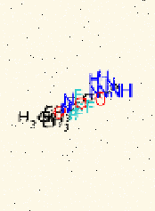 C[Si](C)(C)CCOCn1cc(C(F)(F)F)c2c(Oc3c(F)cc(NC(=O)NCc4ncc[nH]4)cc3F)ccnc21